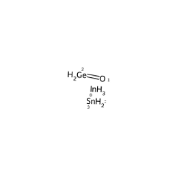 [InH3].[O]=[GeH2].[SnH2]